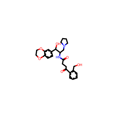 O=C(CCC(=O)c1ccccc1CO)NC(CN1CCCC1)C(O)c1ccc2c(c1)OCCO2